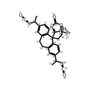 CC(N=C=O)c1ccc2c(c1)CCc1cc(C(C)N=C=O)ccc1C2(C[C@@H](C)N)c1nc(=O)on1C(C)C